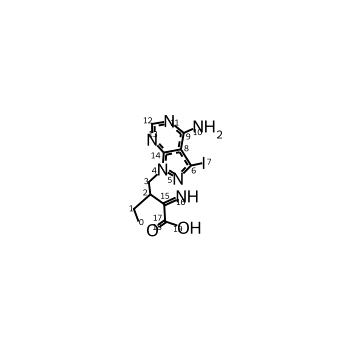 CCC(Cn1nc(I)c2c(N)ncnc21)C(=N)C(=O)O